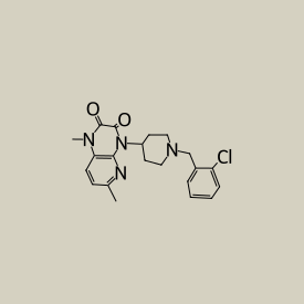 Cc1ccc2c(n1)n(C1CCN(Cc3ccccc3Cl)CC1)c(=O)c(=O)n2C